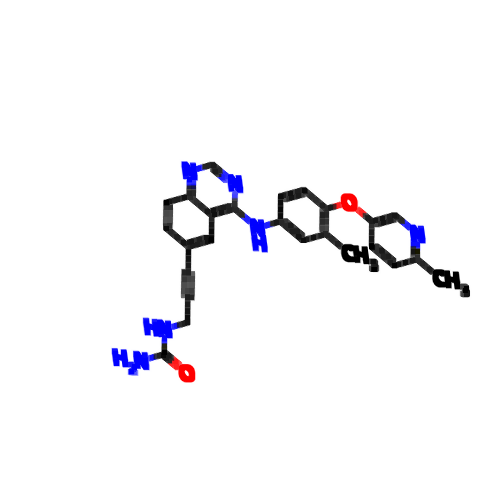 Cc1ccc(Oc2ccc(Nc3ncnc4ccc(C#CCNC(N)=O)cc34)cc2C)cn1